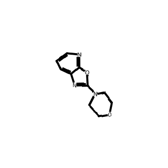 c1cnc2oc(N3CCOCC3)nc2c1